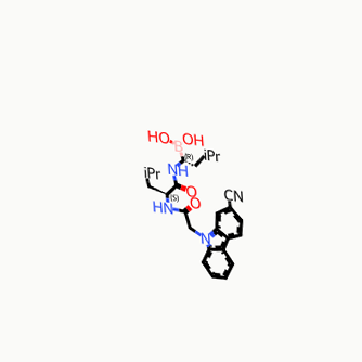 CC(C)C[C@H](NC(=O)[C@H](CC(C)C)NC(=O)Cn1c2ccccc2c2ccc(C#N)cc21)B(O)O